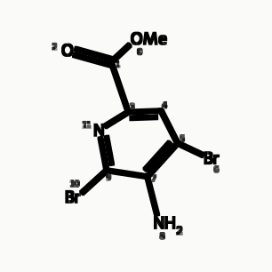 COC(=O)c1cc(Br)c(N)c(Br)n1